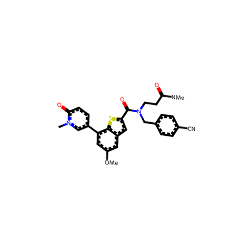 CNC(=O)CCN(Cc1ccc(C#N)cc1)C(=O)c1cc2cc(OC)cc(-c3ccc(=O)n(C)c3)c2s1